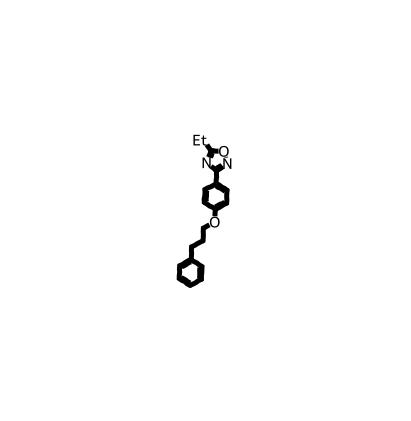 CCc1nc(-c2ccc(OCCCc3ccccc3)cc2)no1